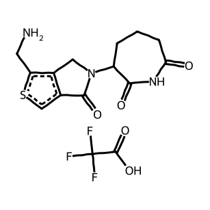 NCc1scc2c1CN(C1CCCC(=O)NC1=O)C2=O.O=C(O)C(F)(F)F